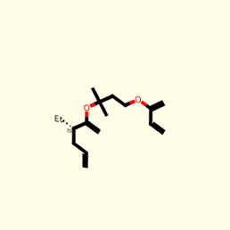 C=CC[C@H](CC)C(=C)OC(C)(C)CCOC(=C)C=C